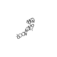 CC(C)[C@@H]1CN(c2cc3c(cn2)COC(C)(C)C3)CCN1C(=O)c1cnn2cccnc12